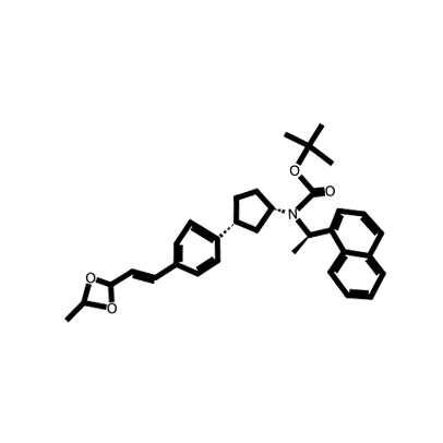 CC1OC(/C=C/c2ccc([C@@H]3CC[C@H](N(C(=O)OC(C)(C)C)[C@H](C)c4cccc5ccccc45)C3)cc2)O1